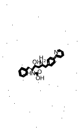 NC(Cc1ccc(-c2ccccn2)cc1)C[C@@H](O)[C@H](Cc1ccccc1)NC(=O)O